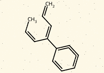 C=C/C=C(\C=C/C)C1=C=C=CC=C1